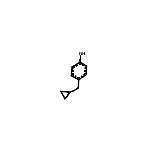 Nc1ccc(CC2CC2)cc1